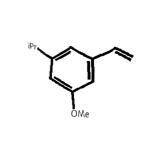 C=Cc1cc(OC)cc(C(C)C)c1